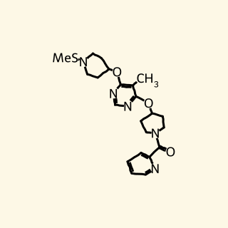 CSN1CCC(Oc2ncnc(OC3CCN(C(=O)c4ccccn4)CC3)c2C)CC1